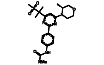 CNC(=O)Nc1ccc(-c2nc(N3CCOC[C@@H]3C)cc(C(C)(C)S(C)(=O)=O)n2)cc1